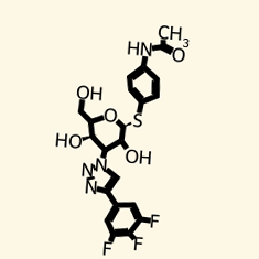 CC(=O)Nc1ccc(S[C@H]2OC(CO)[C@H](O)C(n3cc(-c4cc(F)c(F)c(F)c4)nn3)C2O)cc1